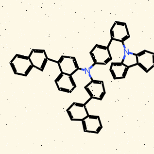 c1cc(-c2cccc3ccccc23)cc(N(c2ccc(-c3ccccc3-n3c4ccccc4c4ccccc43)cc2)c2ccc(-c3ccc4ccccc4c3)c3ccccc23)c1